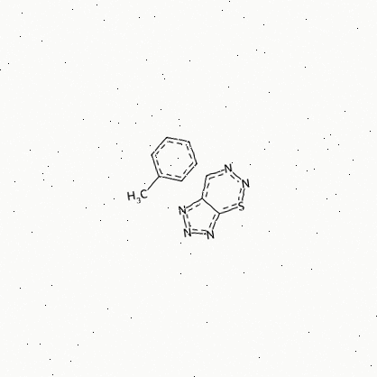 Cc1ccccc1.c1nnsc2nnnc1-2